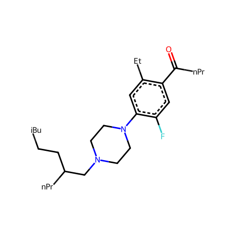 CCCC(=O)c1cc(F)c(N2CCN(CC(CCC)CCC(C)CC)CC2)cc1CC